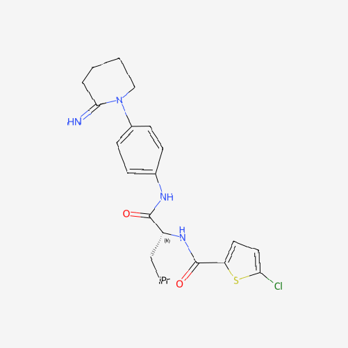 CC(C)C[C@@H](NC(=O)c1ccc(Cl)s1)C(=O)Nc1ccc(N2CCCCC2=N)cc1